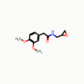 COc1ccc(CC(=O)NCC2CO2)cc1OC